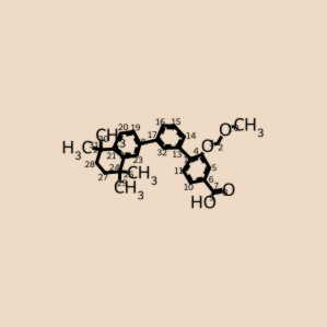 COCOc1cc(C(=O)O)ccc1-c1cccc(-c2ccc3c(c2)C(C)(C)CCC3(C)C)c1